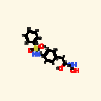 O=C(Cc1ccc(NS(=O)(=O)c2ccccc2)cc1)NO